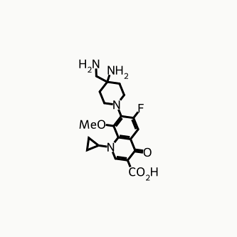 COc1c(N2CCC(N)(CN)CC2)c(F)cc2c(=O)c(C(=O)O)cn(C3CC3)c12